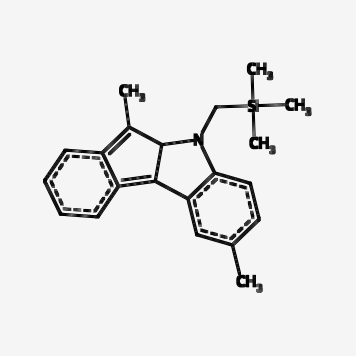 CC1=c2ccccc2=C2c3cc(C)ccc3N(C[Si](C)(C)C)C12